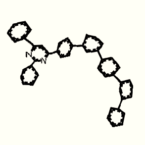 c1ccc(-c2cccc(-c3ccc(-c4cccc(-c5ccc(-c6cc(-c7ccccc7)nc(-c7ccccc7)n6)cc5)c4)cc3)c2)cc1